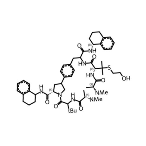 CN[C@@H](C)C(=O)NC(C(=O)N1CC(c2ccc(CC(NC(=O)[C@@H](NC(=O)[C@H](C)NC)C(C)(C)SCCO)C(=O)N[C@@H]3CCCc4ccccc43)cc2)C[C@H]1C(=O)NC1CCCc2ccccc21)C(C)(C)C